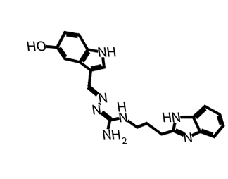 NC(=NN=Cc1c[nH]c2ccc(O)cc12)NCCCc1nc2ccccc2[nH]1